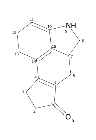 O=C1CCC2=C1CC1CNC3=CCCC2=C31